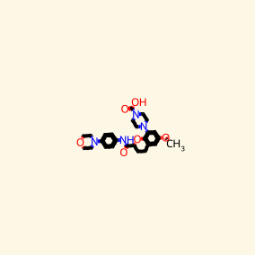 COc1cc2c(c(N3CCN(C(=O)O)CC3)c1)OC(C(=O)Nc1ccc(N3CCOCC3)cc1)CC2